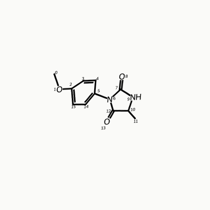 COc1ccc(N2C(=O)NC(C)C2=O)cc1